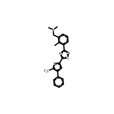 Cc1c(CN(C)C)cccc1-c1noc(-c2cc(-c3ccccc3)c(C(F)(F)F)s2)n1